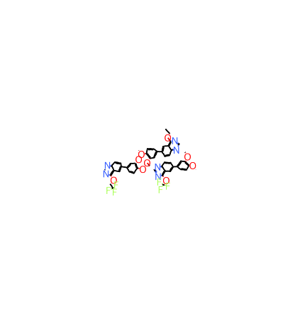 CCOc1ncnc2ccc(-c3ccc(OC)c(OC)c3)cc12.COc1ccc(-c2ccc3ncnc(OC(F)(F)F)c3c2)cc1OC.COc1ccc(-c2ccc3ncnc(OCC(F)(F)F)c3c2)cc1OC